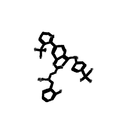 CN(CCc1nc(Nc2ccc(C(F)(F)F)cc2)c2ccc(-c3ncccc3C(F)(F)F)cc2n1)Cc1ccccc1F